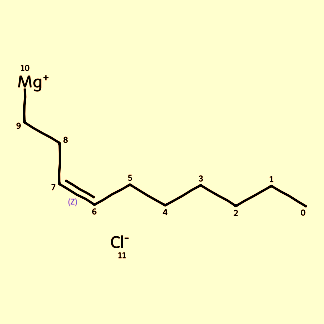 CCCCCC/C=C\C[CH2][Mg+].[Cl-]